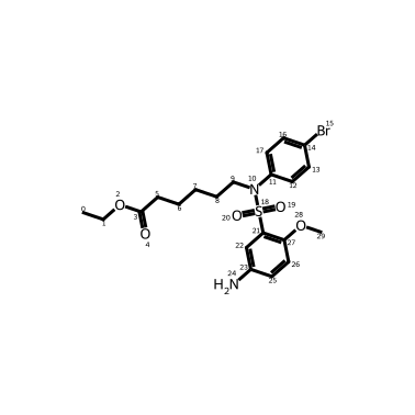 CCOC(=O)CCCCCN(c1ccc(Br)cc1)S(=O)(=O)c1cc(N)ccc1OC